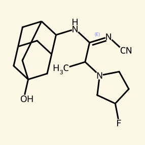 CC(/C(=N\C#N)NC1C2CC3CC1CC(O)(C3)C2)N1CCC(F)C1